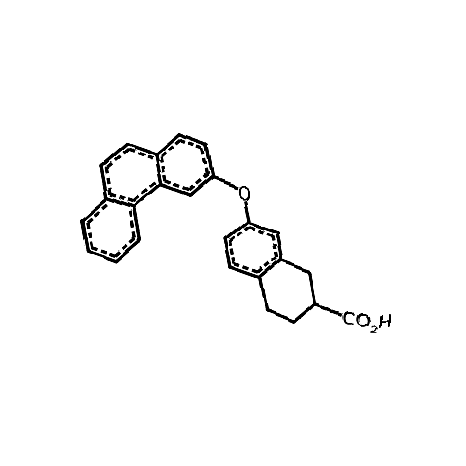 O=C(O)C1CCc2ccc(Oc3ccc4ccc5ccccc5c4c3)cc2C1